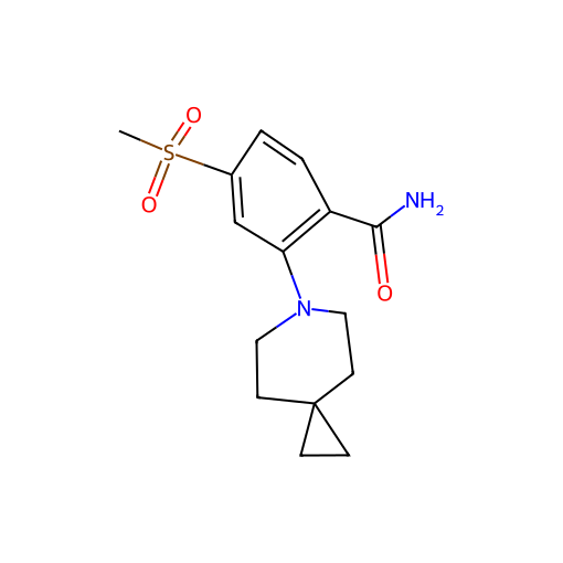 CS(=O)(=O)c1ccc(C(N)=O)c(N2CCC3(CC2)CC3)c1